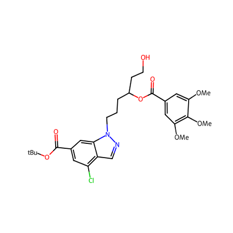 COc1cc(C(=O)OC(CCO)CCCn2ncc3c(Cl)cc(C(=O)OC(C)(C)C)cc32)cc(OC)c1OC